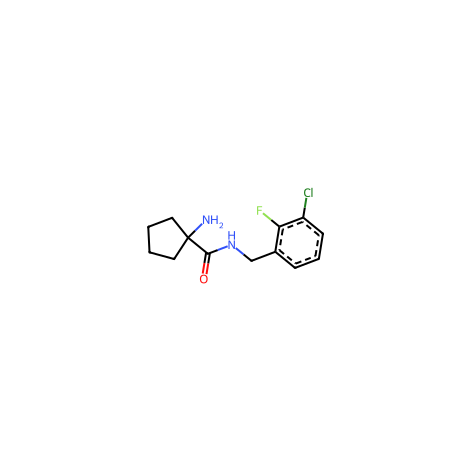 NC1(C(=O)NCc2cccc(Cl)c2F)CCCC1